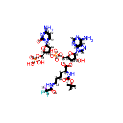 CC(C)(C)OC(=O)N[C@@H](CCCCNC(=O)C(F)(F)I)C(=O)O[C@H]1[C@@H](O)[C@H](n2cnc3c(N)ncnc32)O[C@@H]1COP(=O)(O)O[C@H]1C[C@H](n2ccc(N)nc2=O)O[C@@H]1COP(=O)(O)O